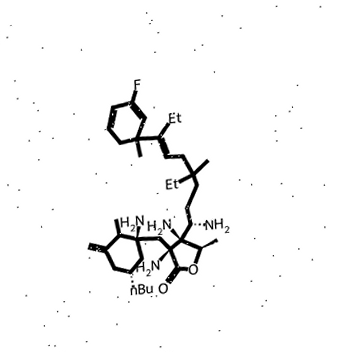 C=C1C[C@@H](CCCC)C[C@@](N)(C[C@@]2(N)C(=O)O[C@H](C)[C@@]2(N)[C@@H](N)CCC(C)(CC)C/C=C(\CC)C2(C)C=C(F)C=CC2)C1C